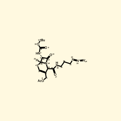 CC(=O)OCC1=CS[C@@H]2[C@H](NC(=O)OC(C)(C)C)C(=O)N2C1C(=O)NCCCN=[N+]=[N-]